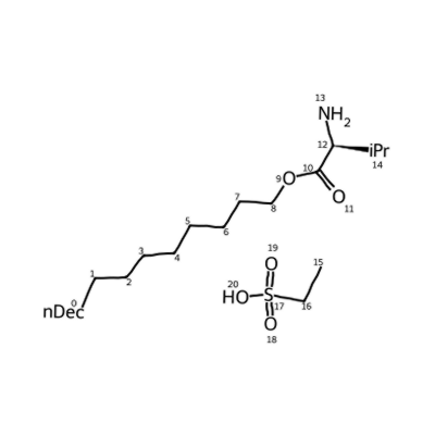 CCCCCCCCCCCCCCCCCCOC(=O)[C@@H](N)C(C)C.CCS(=O)(=O)O